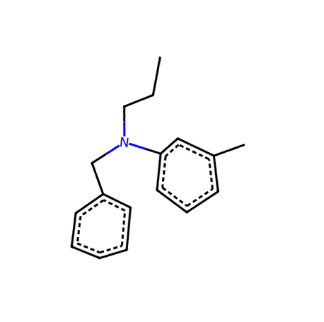 CCCN(Cc1ccccc1)c1cccc(C)c1